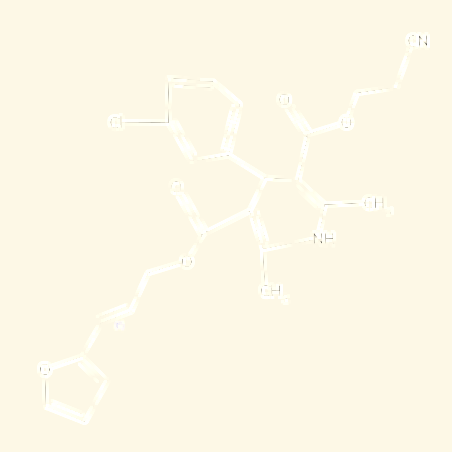 CC1=C(C(=O)OC/C=C/c2ccco2)C(c2cccc(Cl)c2)C(C(=O)OCCC#N)=C(C)N1